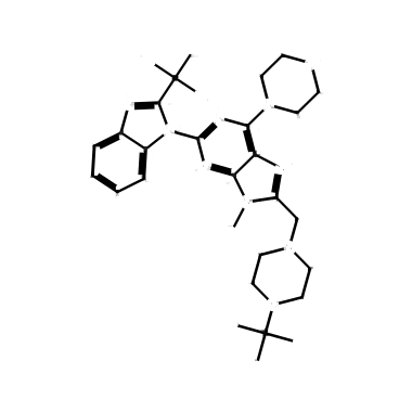 Cn1c(CN2CCN(C(C)(C)C)CC2)nc2c(N3CCOCC3)nc(-n3c(C(C)(F)F)nc4ccccc43)nc21